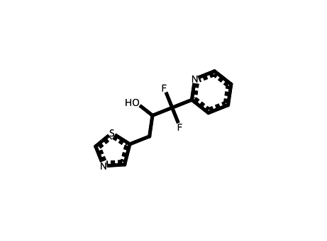 OC(Cc1cncs1)C(F)(F)c1ccccn1